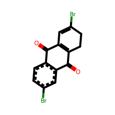 O=C1C2=C(CCC(Br)=C2)C(=O)c2cc(Br)ccc21